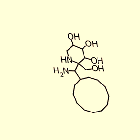 NC(C1CCCCCCCCCCC1)C1(CO)NCC(O)C(O)C1O